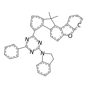 CC1(C)c2cccc(-c3nc(-c4ccccc4)nc(N4CCc5ccccc54)n3)c2-c2ccc3oc4ccccc4c3c21